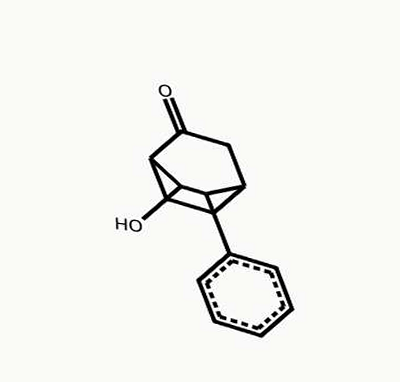 O=C1CC2CCC1C(O)C2c1ccccc1